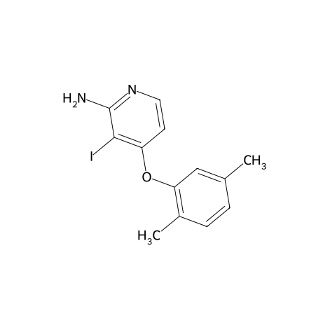 Cc1ccc(C)c(Oc2ccnc(N)c2I)c1